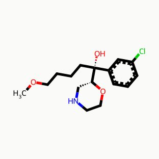 COCCCC[C@@](O)(c1cccc(Cl)c1)[C@H]1CNCCO1